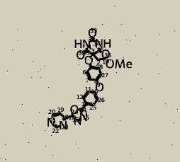 COCCC1(Oc2ccc(Oc3ccc(-c4nnc(-c5ccncn5)o4)cc3)cc2)C(=O)NC(=O)NC1=O